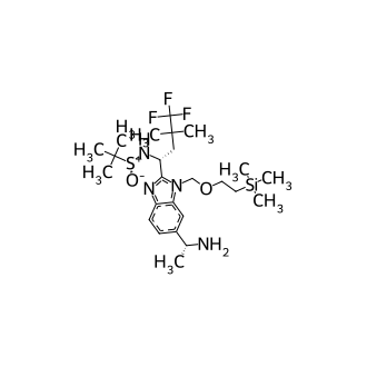 C[C@@H](N)c1ccc2nc([C@@H](CC(C)(C)C(F)(F)F)N[S@@+]([O-])C(C)(C)C)n(COCC[Si](C)(C)C)c2c1